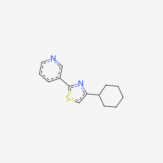 c1cncc(-c2nc(C3CCCCC3)cs2)c1